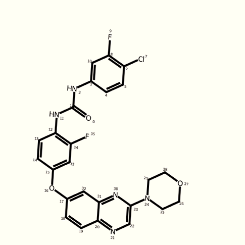 O=C(Nc1ccc(Cl)c(F)c1)Nc1ccc(Oc2ccc3ncc(N4CCOCC4)nc3c2)cc1F